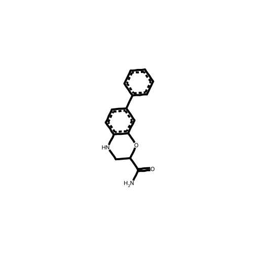 NC(=O)C1CNc2ccc(-c3ccccc3)cc2O1